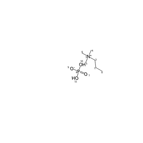 CCC[N+](C)(C)C.O=P([O-])(O)O